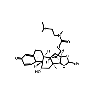 CCCC1O[C@@H]2C[C@H]3[C@@H]4CCC5=CC(=O)C=C[C@]5(C)[C@H]4[C@@H](O)C[C@]3(C)[C@]2(C(=O)COC(=O)N(C)CCN(C)C)O1